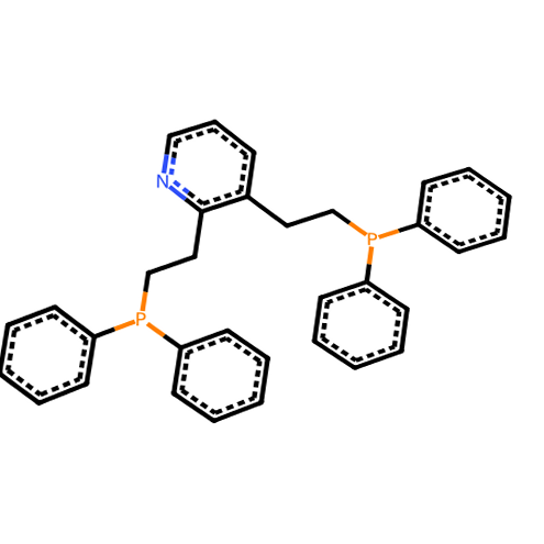 c1ccc(P(CCc2cccnc2CCP(c2ccccc2)c2ccccc2)c2ccccc2)cc1